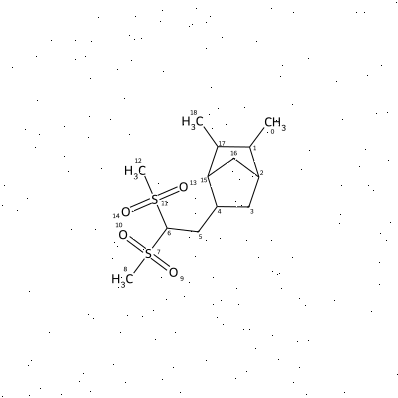 CC1C2CC(CC(S(C)(=O)=O)S(C)(=O)=O)C(C2)C1C